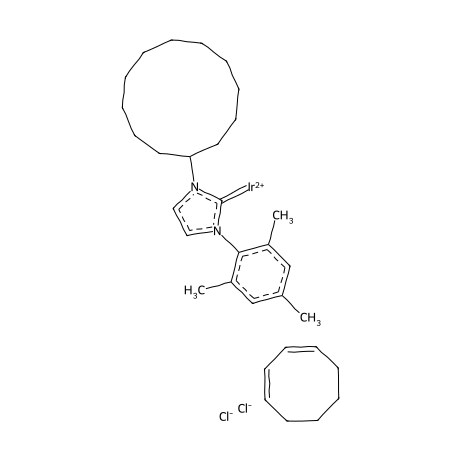 C1=C\CCCC\C=C/1.Cc1cc(C)c(-n2ccn(C3CCCCCCCCCCC3)[c]2=[Ir+2])c(C)c1.[Cl-].[Cl-]